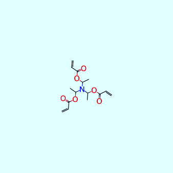 C=CC(=O)OC(C)N(C(C)OC(=O)C=C)C(C)OC(=O)C=C